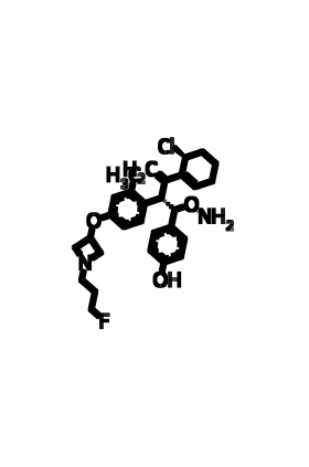 C=C(C1=CCCC[C@@H]1Cl)[C@@H](c1ccc(OC2CN(CCCF)C2)cc1C)C(ON)c1ccc(O)cc1